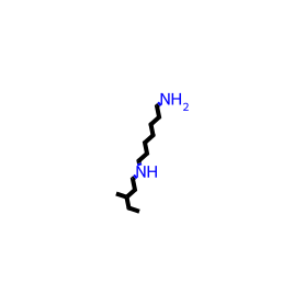 CCC(C)CCNCCCCCCCN